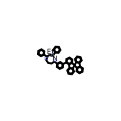 CCC1=C(c2ccccc2)/N=C(/c2cccc(-c3cccc4c3-c3ccccc3C43c4ccccc4-c4ccccc43)c2)CC/C=C\1c1ccccc1